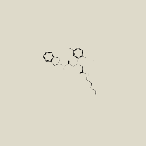 CCNCCNC(=O)CN(CC(=O)N(C)N1Cc2ccccc2C1)c1cc(I)ccc1C